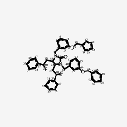 O=C1N(Cc2cccc(OCc3ccccc3)c2)C(CC(F)c2ccccc2)C(CC(F)c2ccccc2)N1Cc1cccc(OCc2ccccc2)c1